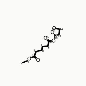 CCOC(=O)CCCCC(=O)ON1CCOO1